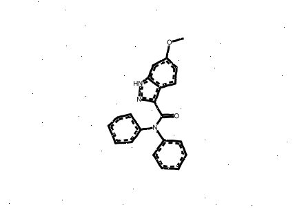 COc1ccc2c(C(=O)N(c3ccccc3)c3ccccc3)n[nH]c2c1